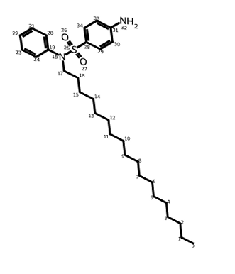 CCCCCCCCCCCCCCCCCCN(c1ccccc1)S(=O)(=O)c1ccc(N)cc1